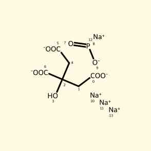 O=C([O-])CC(O)(CC(=O)[O-])C(=O)[O-].O=P[O-].[Na+].[Na+].[Na+].[Na+]